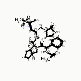 CC(=O)N[C@@H](C(=O)N1C[C@@H]2CCC[C@@H]2[C@H]1C(=O)N[C@H](/C=C(\F)S(C)(=O)=O)C[C@@H]1CCNC1=O)c1ccccc1